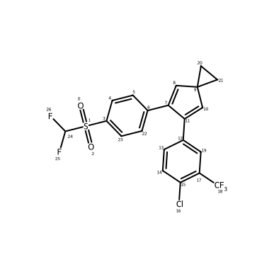 O=S(=O)(c1ccc(C2=CC3(C=C2c2ccc(Cl)c(C(F)(F)F)c2)CC3)cc1)C(F)F